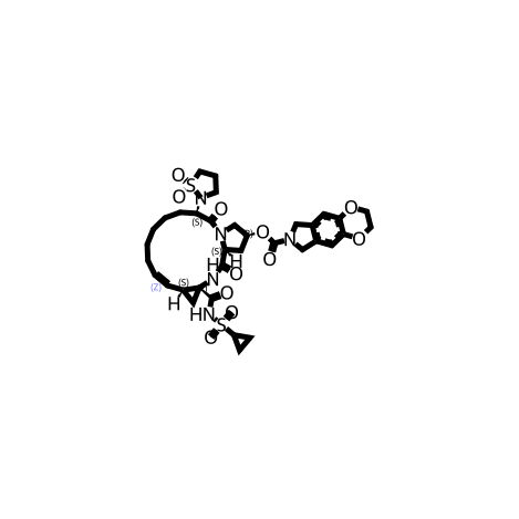 O=C1N[C@]2(C(=O)NS(=O)(=O)C3CC3)C[C@H]2/C=C\CCCCC[C@H](N2CCCS2(=O)=O)C(=O)N2C[C@H](OC(=O)N3Cc4cc5c(cc4C3)OCCO5)C[C@@H]12